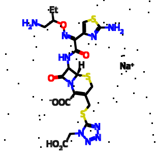 CCC(CN)ON=C(C(=O)NC1C(=O)N2C(C(=O)[O-])=C(CSc3nnnn3CC(=O)O)CS[C@@H]12)c1csc(N)n1.[Na+]